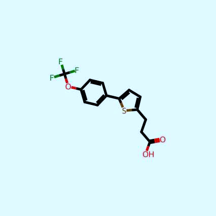 O=C(O)CCc1ccc(-c2ccc(OC(F)(F)F)cc2)s1